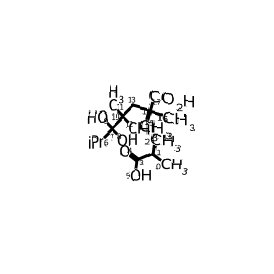 CC(C)C(=O)O.CC(C)C(O)(O)C(C)(C)CC(C)(C)C(=O)O